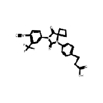 [C-]#[N+]c1ccc(N2C(=O)C3(CCC3)N(c3ccc(CCC(=O)O)cc3)C2=S)cc1C(F)(F)F